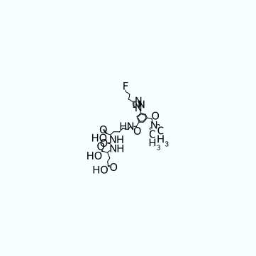 CCN(CC)C(=O)c1cc(C(=O)NCCCCC(NC(=O)NC(CCC(=O)O)C(=O)O)C(=O)O)cc(-n2cc(CCCF)nn2)c1